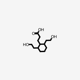 O=C(O)CCC1C(CCO)C[CH]CC1CCO